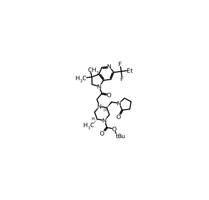 CCC(F)(F)c1cc2c(cn1)C(C)(C)CN2C(=O)CN1C[C@@H](C)N(C(=O)OC(C)(C)C)C[C@@H]1CN1CCCC1=O